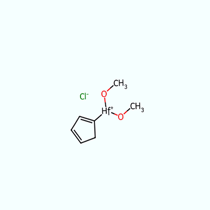 C[O][Hf+]([O]C)[C]1=CC=CC1.[Cl-]